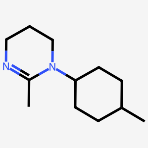 CC1=NCCCN1C1CCC(C)CC1